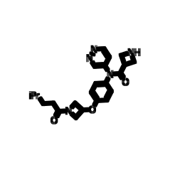 CC(C)CCC(=O)N1CC(Oc2ccc(N(C(=O)C3CNC3)c3ccnnc3)cc2)C1